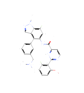 COc1cccc(F)c1-c1nccc(C(=O)Nc2cc(F)c3c(cnn3C)c2-c2cccc(CN(C)C)c2)n1